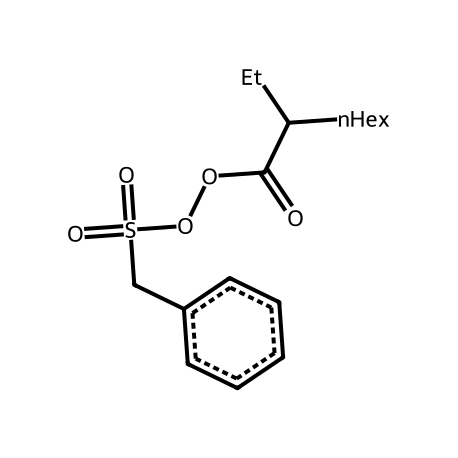 CCCCCCC(CC)C(=O)OOS(=O)(=O)Cc1ccccc1